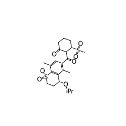 Cc1cc(C(=O)C2C(=O)CCCC2S(C)(=O)=O)c(C)c2c1S(=O)(=O)CCC2OC(C)C